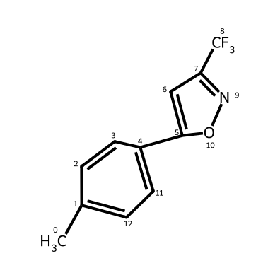 Cc1ccc(-c2cc(C(F)(F)F)no2)cc1